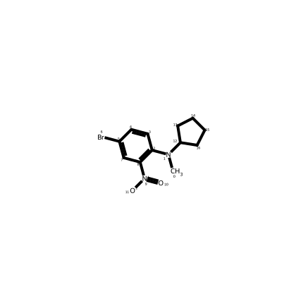 CN(c1ccc(Br)cc1[N+](=O)[O-])C1CCCC1